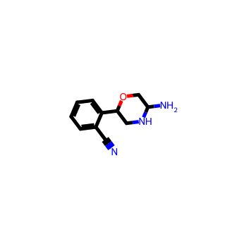 N#Cc1ccccc1C1CNC(N)CO1